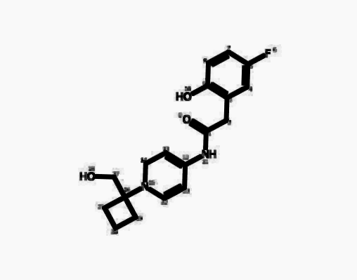 O=C(Cc1cc(F)ccc1O)NC1=CCN(C2(CO)CCC2)C=C1